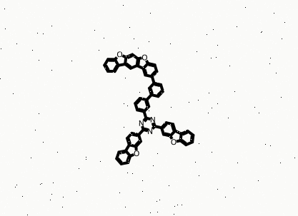 c1cc(-c2cccc(-c3nc(-c4ccc5c(c4)oc4ccccc45)nc(-c4ccc5c(c4)oc4ccccc45)n3)c2)cc(-c2ccc3oc4cc5oc6ccccc6c5cc4c3c2)c1